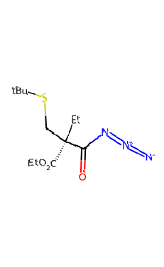 CCOC(=O)[C@@](CC)(CSC(C)(C)C)C(=O)N=[N+]=[N-]